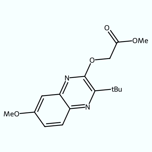 COC(=O)COc1nc2cc(OC)ccc2nc1C(C)(C)C